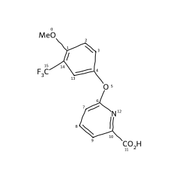 COc1ccc(Oc2cccc(C(=O)O)n2)cc1C(F)(F)F